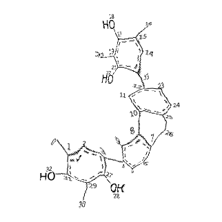 Cc1cc(-c2ccc3c(c2)-c2cc(-c4cc(C)c(O)c(C)c4O)ccc2C3)c(O)c(C)c1O